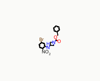 O=C(OCc1ccccc1)N1CC(Nc2cc(Br)ccc2[N+](=O)[O-])C1